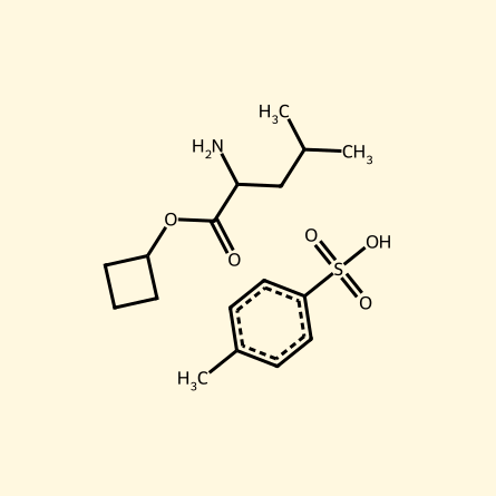 CC(C)CC(N)C(=O)OC1CCC1.Cc1ccc(S(=O)(=O)O)cc1